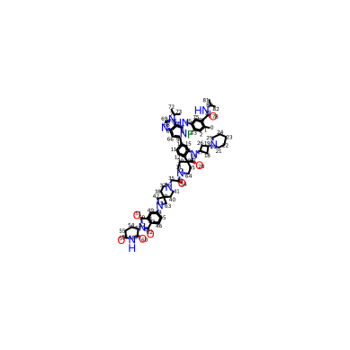 Cc1cc(F)c(Nc2nc(-c3ccc4c(c3)N(C3CC(N5CCCCC5)C3)C(=O)C43CCN(C(=O)CN4CCC5(CC4)CN(c4ccc6c(c4)C(=O)N(C4CCC(=O)NC4=O)C6=O)C5)CC3)cc3ncn(C(C)C)c23)cc1C(=O)NC(C)C